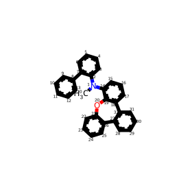 CN(c1ccccc1-c1ccccc1)c1cccc2c1Oc1ccccc1-c1ccccc1-2